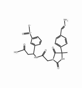 CC1(c2ccc(C=NN)cc2)NC(=O)N(CC(=O)NC(CC(=O)O)c2cccc([N+](=O)[O-])c2)C1=O